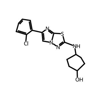 OC1CCC(Nc2nn3cc(-c4ccccc4Cl)nc3s2)CC1